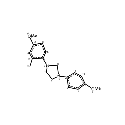 COc1ccc(N2CCN(c3ccc(OC)cc3C)C2)cc1